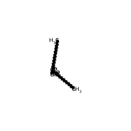 CCCCCC=CCC=CCC=CCC=CCCCC(=O)OC(CO)COC(=O)CCCCCCCCCCCCCCC